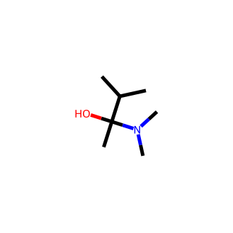 CC(C)C(C)(O)N(C)C